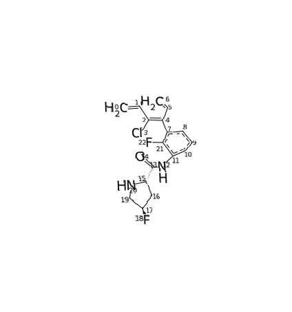 C=C/C(Cl)=C(\C=C)c1cccc(NC(=O)[C@@H]2C[C@@H](F)CN2)c1F